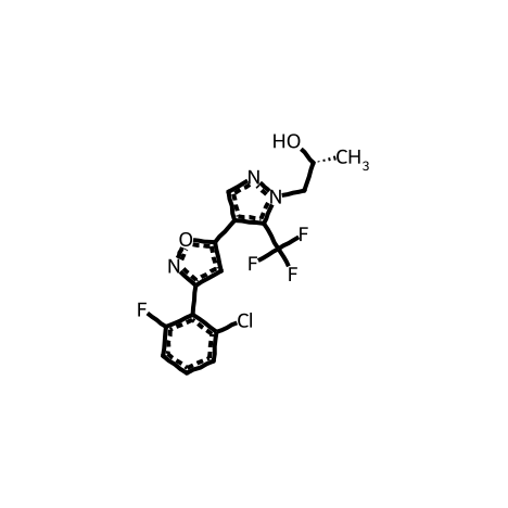 C[C@@H](O)Cn1ncc(-c2cc(-c3c(F)cccc3Cl)no2)c1C(F)(F)F